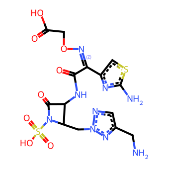 NCc1cnn(CC2C(NC(=O)/C(=N\OCC(=O)O)c3csc(N)n3)C(=O)N2S(=O)(=O)O)n1